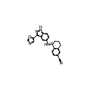 N#Cc1ccc2c(c1)CCC[C@@H]2Nc1ccc2[nH]nc(-c3cnco3)c2c1